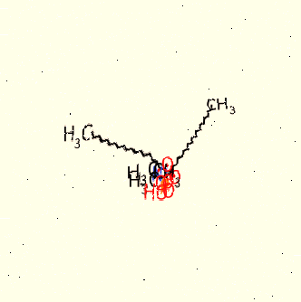 CCCCCCCCCCCCCCCCCCCC(=O)C(C[N+](C)(C)C)(OP(=O)([O-])O)C(=O)CCCCCCCCCCCCCCCCCCC